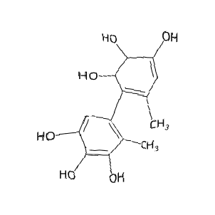 CC1=C(c2cc(O)c(O)c(O)c2C)C(O)C(O)C(O)=C1